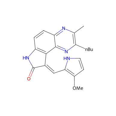 CCCCc1nc2c3c(ccc2nc1C)NC(=O)/C3=C/c1[nH]ccc1OC